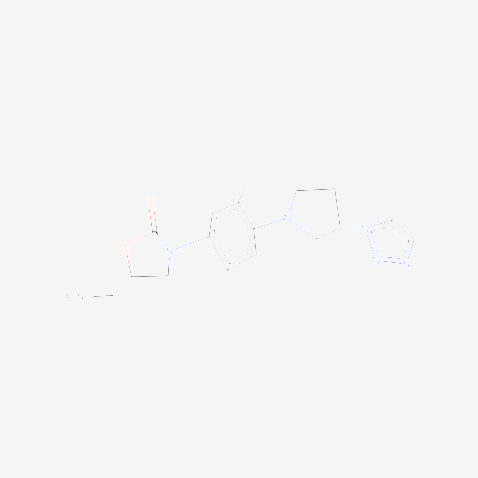 CC(=O)NC[C@H]1CN(c2ccc(N3CC[C@H](n4ccnn4)C3)c(F)c2)C(=O)O1